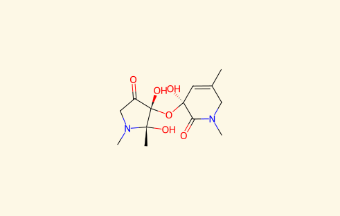 CC1=C[C@](O)(O[C@@]2(O)C(=O)CN(C)[C@@]2(C)O)C(=O)N(C)C1